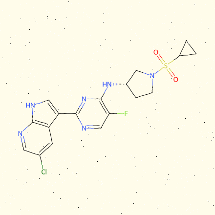 O=S(=O)(C1CC1)N1CC[C@H](Nc2nc(-c3c[nH]c4ncc(Cl)cc34)ncc2F)C1